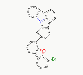 Brc1cccc2c1oc1c(-c3ccc4c5cccc6c7ccccc7n(c4c3)c65)cccc12